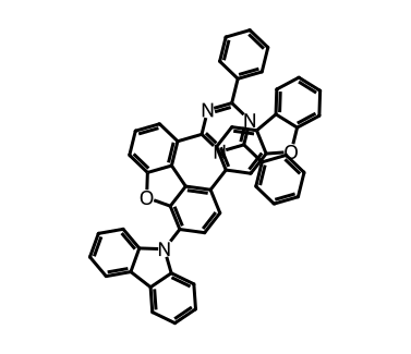 c1ccc(-c2nc(-c3ccccc3)nc(-c3cccc4oc5c(-n6c7ccccc7c7ccccc76)ccc(-c6ccc7c(c6)oc6ccccc67)c5c34)n2)cc1